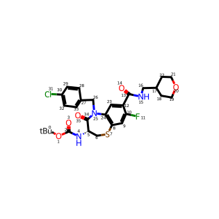 CC(C)(C)OC(=O)N[C@H]1CSc2cc(F)c(C(=O)NCC3CCOCC3)cc2N(Cc2ccc(Cl)cc2)C1=O